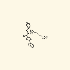 CC(C)N(Cc1cnccc1OCCCCCC(=O)O)C(=O)c1ccc(-c2ccco2)cc1